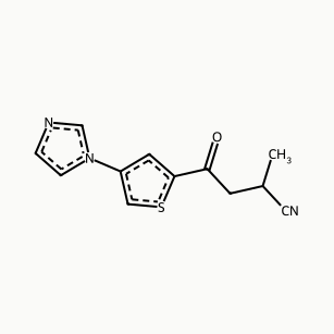 CC(C#N)CC(=O)c1cc(-n2ccnc2)cs1